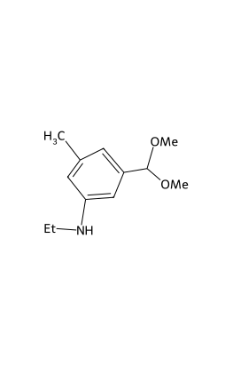 CCNc1cc(C)cc(C(OC)OC)c1